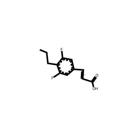 CCCc1c(F)cc(/C=C/C(=O)O)cc1F